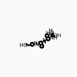 OCCc1ccc(N=Nc2ccc(N=Nc3ccc4c5c(cccc35)NC(CO)(CO)N4)c3ccccc23)cc1